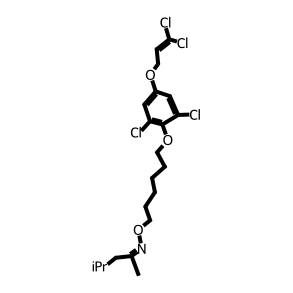 CC(CC(C)C)=NOCCCCCCOc1c(Cl)cc(OCC=C(Cl)Cl)cc1Cl